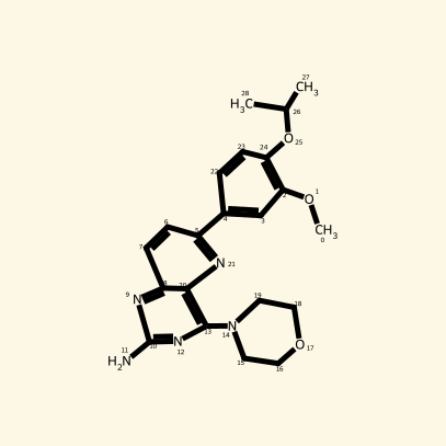 COc1cc(-c2ccc3nc(N)nc(N4CCOCC4)c3n2)ccc1OC(C)C